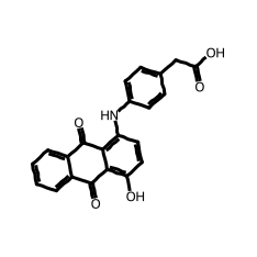 O=C(O)Cc1ccc(Nc2ccc(O)c3c2C(=O)c2ccccc2C3=O)cc1